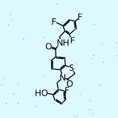 O=C(NCc1c(F)cc(F)cc1F)c1ccc2c(c1)SCC(=O)N2Cc1c(O)cccc1F